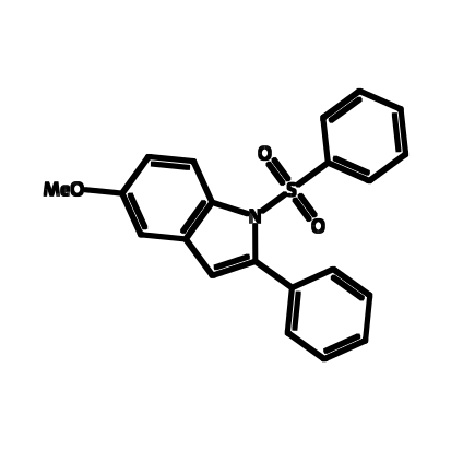 COc1ccc2c(c1)cc(-c1ccccc1)n2S(=O)(=O)c1ccccc1